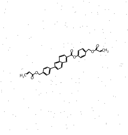 C=CC(=O)OCc1ccc(OC(=O)c2ccc3cc(-c4ccc(COC(=O)C=C)cc4)ccc3c2)cc1